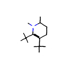 CC1CCC(C(C)(C)C)=C(C(C)(C)C)N1C